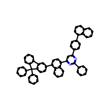 c1ccc(-c2nc(-c3ccc(-c4cccc5ccccc45)cc3)cc(-c3ccc(-c4ccc5c(c4)-c4ccccc4C5(c4ccccc4)c4ccccc4)c4ccccc34)n2)cc1